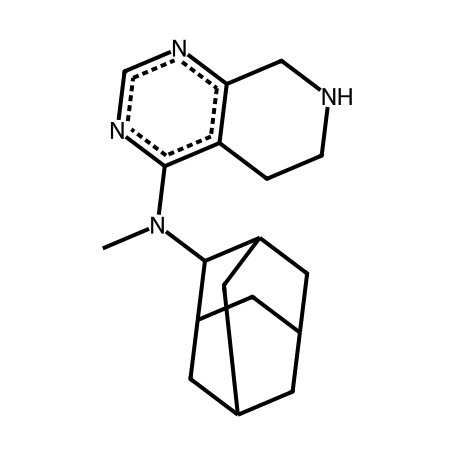 CN(c1ncnc2c1CCNC2)C1C2CC3CC(C2)CC1C3